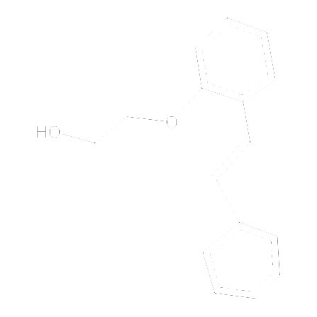 OCCOc1ccccc1/C=C/c1ccccc1